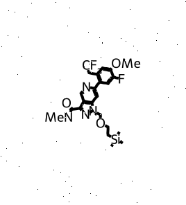 CNC(=O)c1nn(COCC[Si](C)(C)C)c2cc(-c3cc(F)c(OC)cc3CC(F)(F)F)ncc12